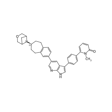 Cn1c(-c2ccc(-c3c[nH]c4ncc(-c5ccc6c(c5)CC[C@@H](N5C7COCC5C7)CC6)cc34)cc2)cccc1=O